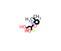 CC(C)c1cccc2oc(C(CC(=O)O)C(O)=S)nc12